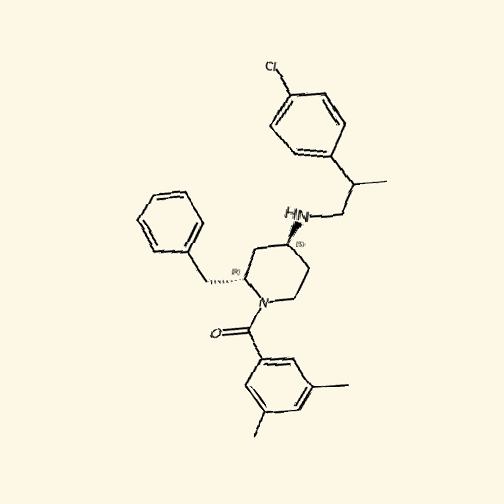 Cc1cc(C)cc(C(=O)N2CC[C@H](NCC(C)c3ccc(Cl)cc3)C[C@H]2Cc2ccccc2)c1